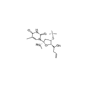 C=CCC(O)[C@H]1O[C@](n2cc(C)c(=O)[nH]c2=O)([SiH](C)C)C[C@@H]1OC(C)(C)C